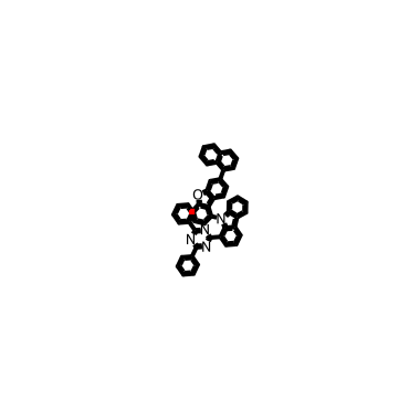 c1ccc(-c2nc(-c3ccccc3)nc(-c3cccc4c5ccccc5n(-c5cccc6oc7cc(-c8cccc9ccccc89)ccc7c56)c34)n2)cc1